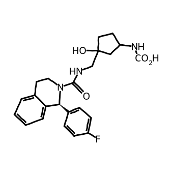 O=C(O)NC1CCC(O)(CNC(=O)N2CCc3ccccc3[C@@H]2c2ccc(F)cc2)C1